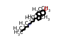 C=C(CC/C=C(\C)CCC=C(C)C)C1CCC2[C@@]1(C)CCC1C(C)(C)C(=O)CC[C@@]12C